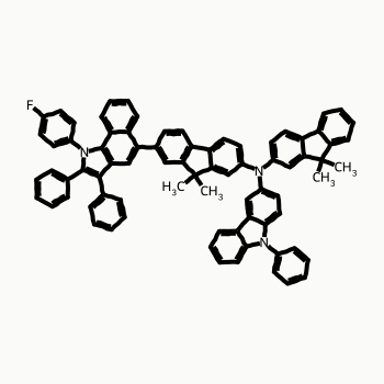 CC1(C)c2ccccc2-c2ccc(N(c3ccc4c(c3)C(C)(C)c3cc(-c5cc6c(-c7ccccc7)c(-c7ccccc7)n(-c7ccc(F)cc7)c6c6ccccc56)ccc3-4)c3ccc4c(c3)c3ccccc3n4-c3ccccc3)cc21